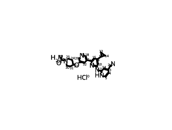 Cl.N#Cc1ccnc(Nc2cc(C3CC3)cc(-c3cncc(OC4CCN(C(N)=O)CC4)c3)n2)c1